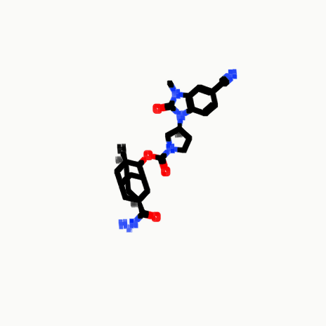 Cn1c(=O)n([C@H]2CCN(C(=O)OC3C4CC5C[C@H]3C[C@@](C(N)=O)(C5)C4)C2)c2ccc(C#N)cc21